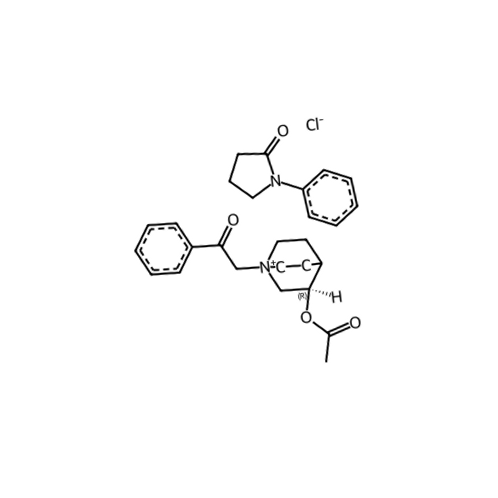 CC(=O)O[C@H]1C[N+]2(CC(=O)c3ccccc3)CCC1CC2.O=C1CCCN1c1ccccc1.[Cl-]